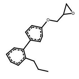 CCCc1ccccc1-c1ccc(OCC2CO2)cc1